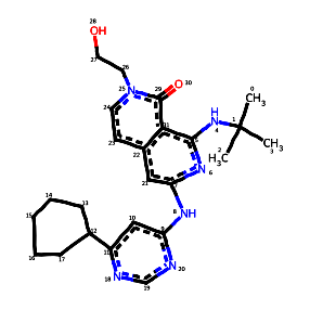 CC(C)(C)Nc1nc(Nc2cc(C3CCCCC3)ncn2)cc2ccn(CCO)c(=O)c12